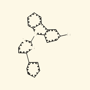 Brc1ccc2c(c1)c1ccccc1n2-c1nccc(-c2ccccc2)n1